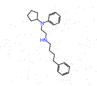 c1ccc(CCCCNCCN(c2ccccc2)C2CCCC2)cc1